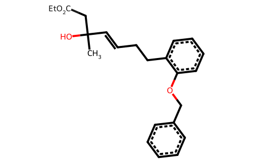 CCOC(=O)CC(C)(O)C=CCCc1ccccc1OCc1ccccc1